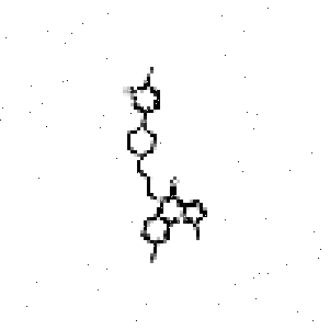 Cc1ccc2c(=O)n(CCCN3CCN(c4ccc(=O)[nH]n4)CC3)c3ccc(F)cc3n12